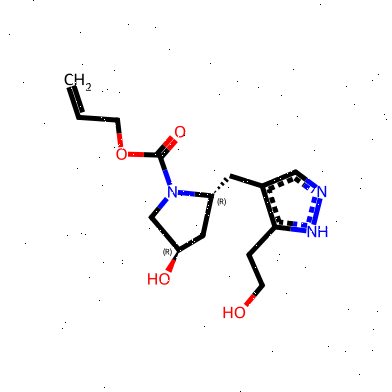 C=CCOC(=O)N1C[C@H](O)C[C@H]1Cc1cn[nH]c1CCO